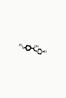 [CH2]CN1CCN(CC(O)c2ccc(SC(C)C)cc2)CC1